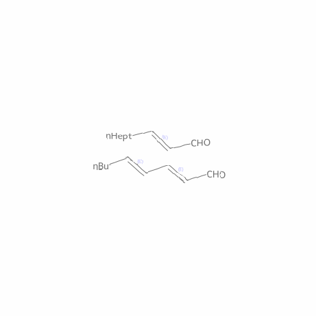 CCCC/C=C/C=C/C=O.CCCCCCC/C=C/C=O